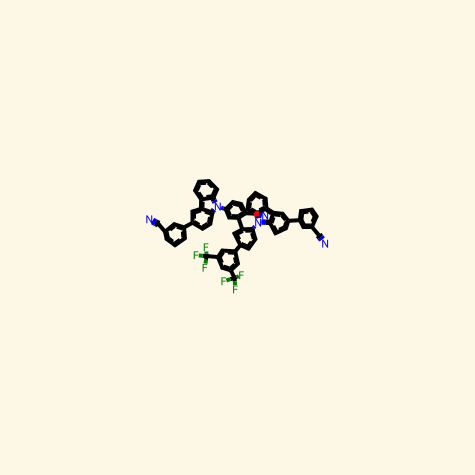 N#Cc1cccc(-c2ccc3c(c2)c2ccccc2n3-c2ccc(C#N)c(-c3cc(-c4cc(C(F)(F)F)cc(C(F)(F)F)c4)ccc3-n3c4ccccc4c4cc(-c5cccc(C#N)c5)ccc43)c2)c1